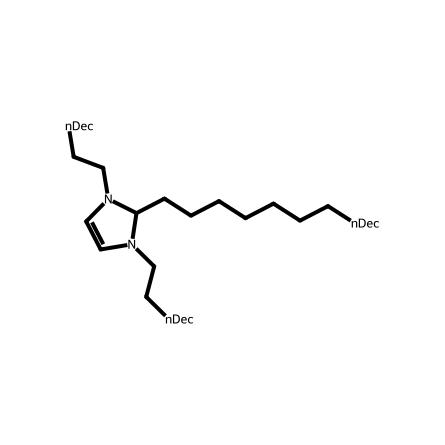 CCCCCCCCCCCCCCCCCC1N(CCCCCCCCCCCC)C=CN1CCCCCCCCCCCC